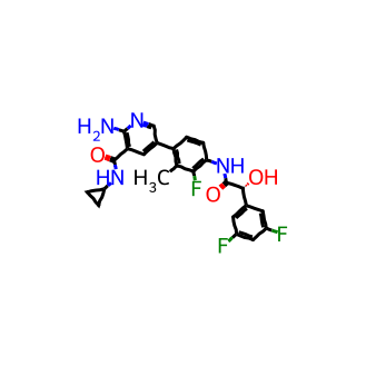 Cc1c(-c2cnc(N)c(C(=O)NC3CC3)c2)ccc(NC(=O)[C@H](O)c2cc(F)cc(F)c2)c1F